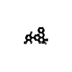 NC(=O)C(Cc1ccccc1)n1ncc(-c2c(F)ccc(Cl)c2F)cc1=O